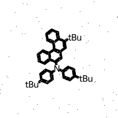 CC(C)(C)c1ccc(N(c2ccc(C(C)(C)C)cc2)c2cc3cc(C(C)(C)C)c4ccccc4c3c3ccccc23)cc1